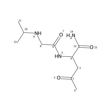 CC(=O)CC(NC(=O)CNC(C)C)C(N)=O